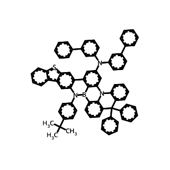 CC(C)(C)c1ccc(N2B3c4cccc5c4N(c4ccccc4C5(c4ccccc4)c4ccccc4)c4cc(N(c5cccc(-c6ccccc6)c5)c5cccc(-c6ccccc6)c5)cc(c43)-c3cc4sc5ccccc5c4cc32)cc1